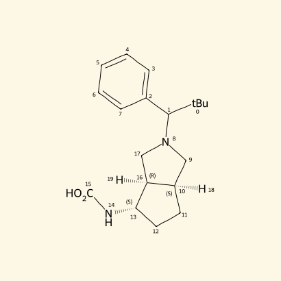 CC(C)(C)C(c1ccccc1)N1C[C@H]2CC[C@H](NC(=O)O)[C@H]2C1